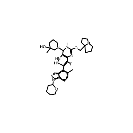 Cc1ccc2c(cnn2C2CCCCO2)c1C1=C(F)C2=C(NN1)C(N1CCCC(C)(O)C1)NC(OCC13CCCN1CCC3)=N2